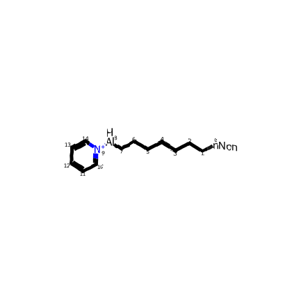 CCCCCCCCCCCCCCC[CH2][AlH][n+]1ccccc1